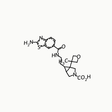 CC1(C23CN(C(=O)O)CC2C3CCNC(=O)c2ccc3nc(N)sc3c2)COC1